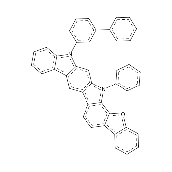 c1ccc(-c2cccc(-n3c4ccccc4c4cc5c6ccc7c8ccccc8oc7c6n(-c6ccccc6)c5cc43)c2)cc1